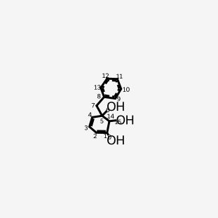 OC1=CC=CC(O)(Cc2ccccc2)C1O